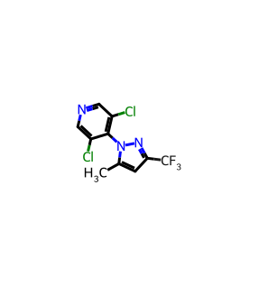 Cc1cc(C(F)(F)F)nn1-c1c(Cl)cncc1Cl